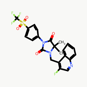 CC1(C)C(=O)N(c2ccc(S(=O)(=O)C(F)(F)F)cc2)C(=O)N1Cc1c(F)cnc2ccccc12